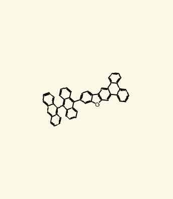 c1ccc2c(-c3c4ccccc4c(-c4ccc5c(c4)oc4cc6c7ccccc7c7ccccc7c6cc45)c4ccccc34)c3ccccc3cc2c1